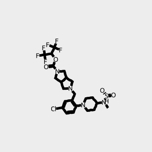 CN(C1CCN(c2ccc(Cl)cc2CN2CC3CN(C(=O)OC(C(F)(F)F)C(F)(F)F)CC3C2)CC1)[SH](=O)=O